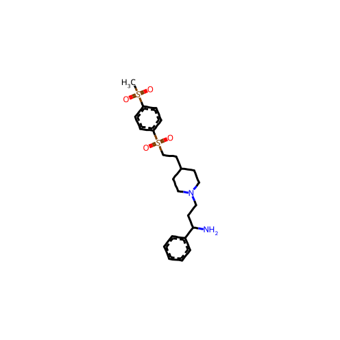 CS(=O)(=O)c1ccc(S(=O)(=O)CCC2CCN(CCC(N)c3ccccc3)CC2)cc1